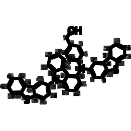 OCc1ccc(N(c2ccc3sc4ccccc4c3c2)c2cccc3c2c2ccccc2n3-c2ccc3sc4ccccc4c3c2)cc1